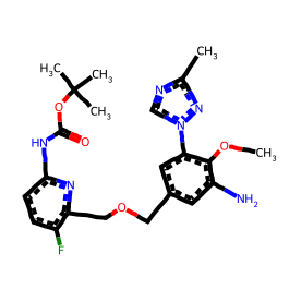 COc1c(N)cc(COCc2nc(NC(=O)OC(C)(C)C)ccc2F)cc1-n1cnc(C)n1